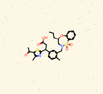 CCC[C@@H]1CN(Cc2cc(C(CC(=O)O)c3nc(C)c(C(C)=O)s3)ccc2C)S(=O)(=O)c2ccccc2O1